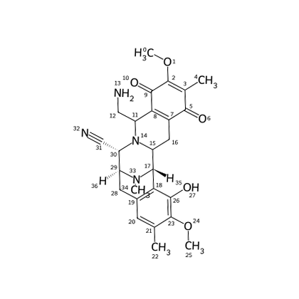 COC1=C(C)C(=O)C2=C(C1=O)C(CN)N1C(C2)[C@@H]2c3c(cc(C)c(OC)c3O)C[C@@H]([C@@H]1C#N)N2C